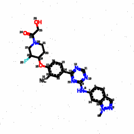 Cn1ncc2ccc(Nc3ncnc(-c4ccc(OC5CCN(C(=O)CO)CC5F)c(C#N)c4)n3)cc21